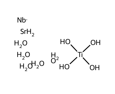 O.O.O.O.O.[Nb].[OH][Ti]([OH])([OH])[OH].[SrH2]